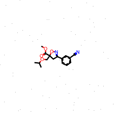 COC(=O)C1(COC(C)C)CC(c2cccc(C#N)c2)=NO1